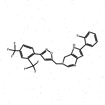 Fc1ccccc1-c1cc2c([nH]1)CN(Cc1cc(-c3ccc(C(F)(F)F)cc3C(F)(F)F)no1)C=N2